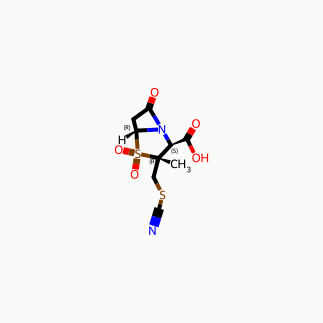 C[C@]1(CSC#N)[C@H](C(=O)O)N2C(=O)C[C@H]2S1(=O)=O